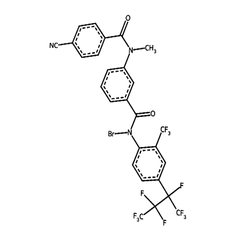 CN(C(=O)c1ccc(C#N)cc1)c1cccc(C(=O)N(Br)c2ccc(C(F)(C(F)(F)F)C(F)(F)C(F)(F)F)cc2C(F)(F)F)c1